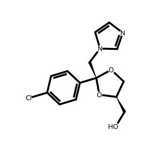 OC[C@@H]1CO[C@@](Cn2ccnc2)(c2ccc(Cl)cc2)O1